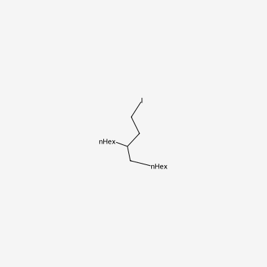 CCCCCCCC(CCI)CCCCCC